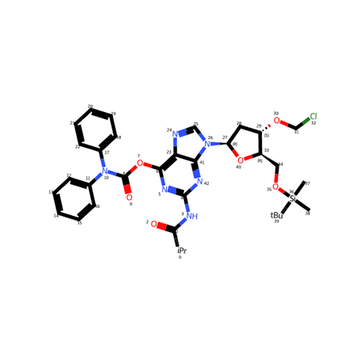 CC(C)C(=O)Nc1nc(OC(=O)N(c2ccccc2)c2ccccc2)c2ncn([C@H]3C[C@H](OCCl)[C@@H](CO[Si](C)(C)C(C)(C)C)O3)c2n1